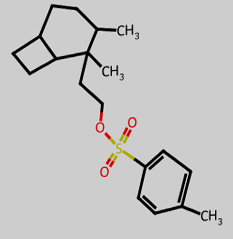 Cc1ccc(S(=O)(=O)OCCC2(C)C(C)CCC3CCC32)cc1